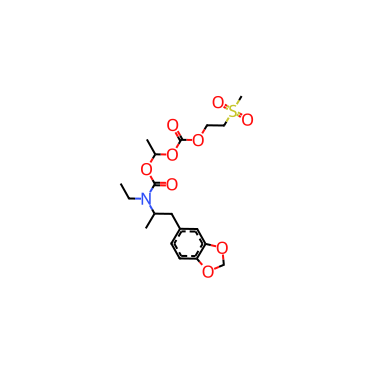 CCN(C(=O)OC(C)OC(=O)OCCS(C)(=O)=O)C(C)Cc1ccc2c(c1)OCO2